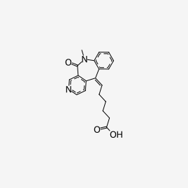 CN1C(=O)c2cnccc2C(=CCCCCC(=O)O)c2ccccc21